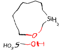 C1CC[SiH2]OC1.O=S(=O)(O)O